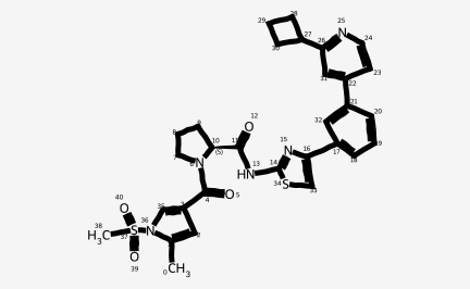 Cc1cc(C(=O)N2CCC[C@H]2C(=O)Nc2nc(-c3cccc(-c4ccnc(C5CCC5)c4)c3)cs2)cn1S(C)(=O)=O